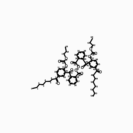 CCCCCCCC(=O)c1ccc(OC(=O)OCCC)c(C(=O)c2ccccc2C(=O)OOC(=O)c2ccccc2C(=O)c2cc(C(=O)CCCCCCC)ccc2OC(=O)OCCC)c1